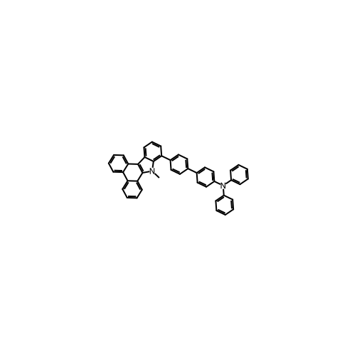 Cn1c2c(-c3ccc(-c4ccc(N(c5ccccc5)c5ccccc5)cc4)cc3)cccc2c2c3ccccc3c3ccccc3c21